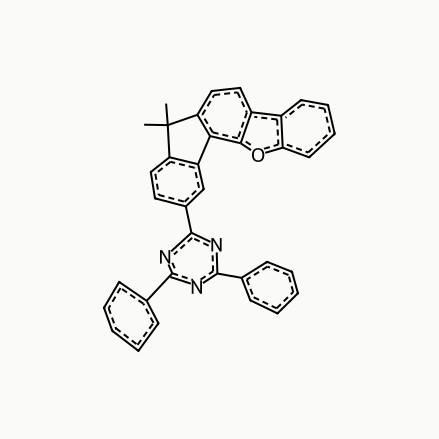 CC1(C)c2ccc(-c3nc(-c4ccccc4)nc(-c4ccccc4)n3)cc2-c2c1ccc1c2oc2ccccc21